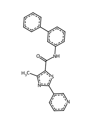 Cc1nc(-c2cccnc2)sc1C(=O)Nc1cccc(-c2ccccc2)c1